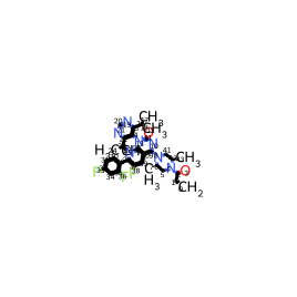 C=CC(=O)N1C[C@H](C)N(c2nc(=O)n(-c3c(C(C)C)ncnc3C(C)C)c3nc(-c4ccc(F)cc4F)c(F)cc23)C[C@H]1C